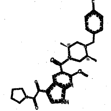 COc1nc2[nH]cc(C(=O)C(=O)N3CCCC3)c2cc1C(=O)N1C[C@H](C)N(Cc2ccc(F)cc2)C[C@H]1C